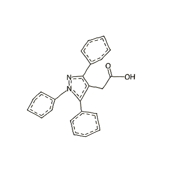 O=C(O)Cc1c(-c2ccccc2)nn(-c2ccccc2)c1-c1ccccc1